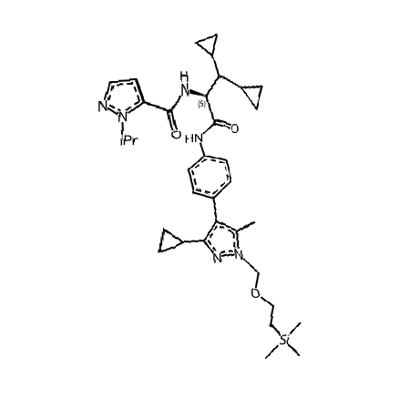 Cc1c(-c2ccc(NC(=O)[C@@H](NC(=O)c3ccnn3C(C)C)C(C3CC3)C3CC3)cc2)c(C2CC2)nn1COCC[Si](C)(C)C